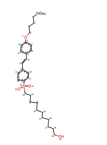 CCCCCCCCCCCCCCOc1ccc(C=Cc2ccc(S(=O)(=O)CCCCCCCCCCCO)cc2)cc1